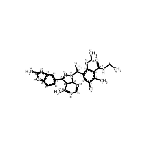 CCNC(=O)c1c(C)c(Cl)cc(C(C)N2N=C(c3ccc4oc(N)nc4c3)C3C(N)=NC=NC32)c1OCC